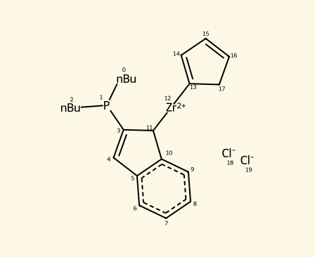 CCCCP(CCCC)C1=Cc2ccccc2[CH]1[Zr+2][C]1=CC=CC1.[Cl-].[Cl-]